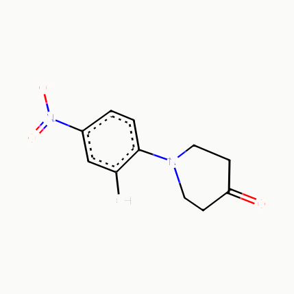 Cc1cc([N+](=O)[O-])ccc1N1CCC(=O)CC1